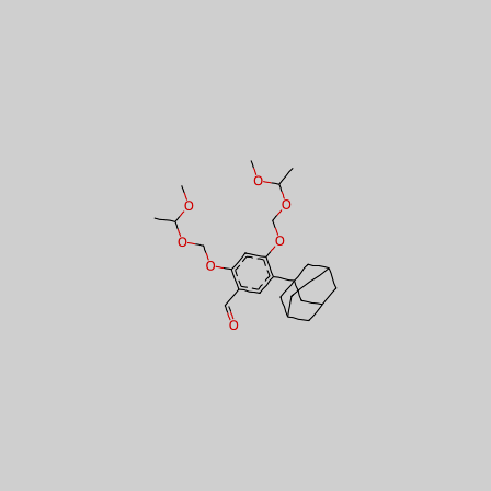 COC(C)OCOc1cc(OCOC(C)OC)c(C23CC4CC(CC(C4)C2)C3)cc1C=O